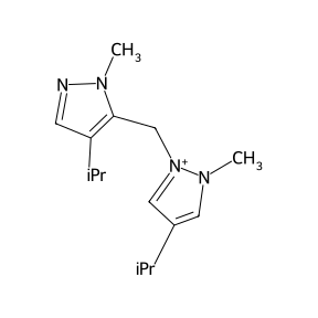 CC(C)c1cn(C)[n+](Cc2c(C(C)C)cnn2C)c1